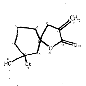 C=C1CC2(CCCC(O)(CC)C2)OC1=O